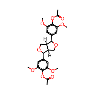 COc1cc([C@H]2OC[C@H]3[C@@H]2CO[C@@H]3c2cc(OC)c(OC(C)=O)c(OC)c2)cc(OC)c1OC(C)=O